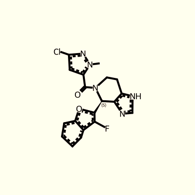 Cn1nc(Cl)cc1C(=O)N1CCc2[nH]cnc2[C@H]1c1oc2ccccc2c1F